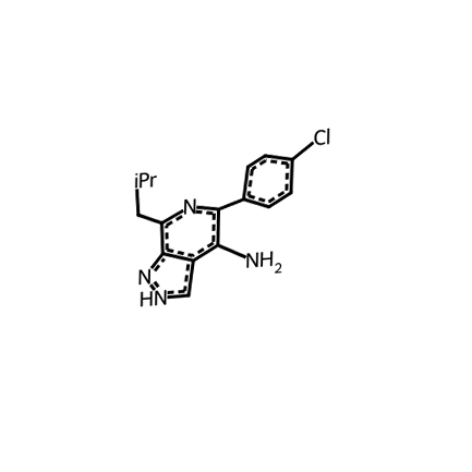 CC(C)Cc1nc(-c2ccc(Cl)cc2)c(N)c2c[nH]nc12